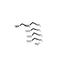 NCC(=O)[O-].NCC(=O)[O-].NCC(=O)[O-].NCC(=O)[O-].NCC(=O)[O-].[Al+3].[Mg+2]